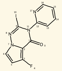 O=c1c2c(F)ccn2nc(I)n1-c1ccccn1